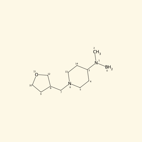 BN(C)C1CCN(CC2CCOC2)CC1